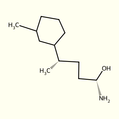 CC1CCCC([C@@H](C)CC[C@@H](N)O)C1